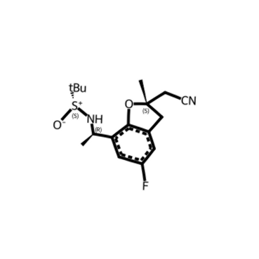 C[C@@H](N[S@+]([O-])C(C)(C)C)c1cc(F)cc2c1O[C@](C)(CC#N)C2